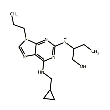 CCCn1cnc2c(NCC3CC3)nc(NC(CC)CO)nc21